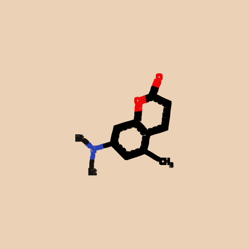 CCN(CC)c1cc(C)c2ccc(=O)oc2c1